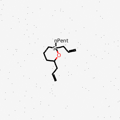 C=CCC1CCC[Si](CC=C)(CCCCC)O1